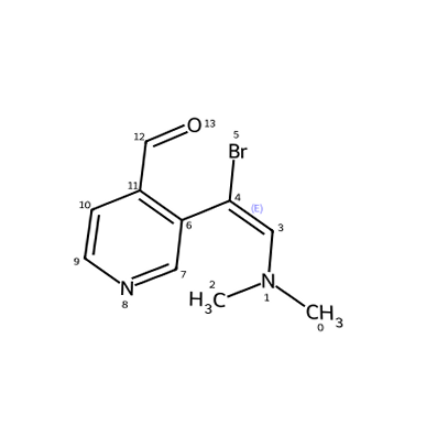 CN(C)/C=C(/Br)c1cnccc1C=O